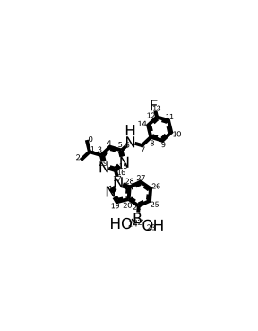 CC(C)c1cc(NCc2cccc(F)c2)nc(-n2ncc3c(B(O)O)cccc32)n1